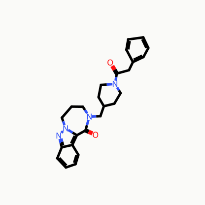 O=C(Cc1ccccc1)N1CCC(CN2CCCn3nc4ccccc4c3C2=O)CC1